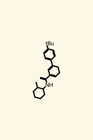 C=C(NC1CCCCC1C)C1=CCCC(c2ccc(C(C)(C)C)cc2)=C1